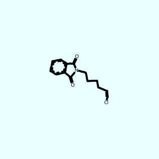 O=C1c2ccccc2C(=O)N1CCCC/C=C\Cl